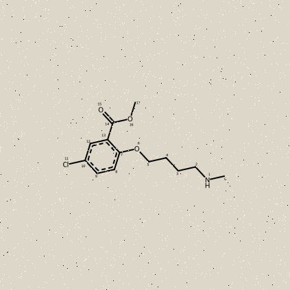 CNCCCCOc1ccc(Cl)cc1C(=O)OC